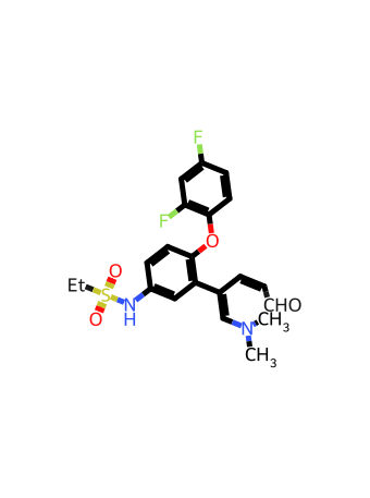 CCS(=O)(=O)Nc1ccc(Oc2ccc(F)cc2F)c(C(/C=C\C=O)=C/N(C)C)c1